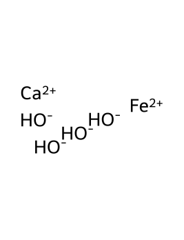 [Ca+2].[Fe+2].[OH-].[OH-].[OH-].[OH-]